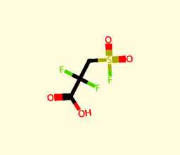 O=C(O)C(F)(F)CS(=O)(=O)F